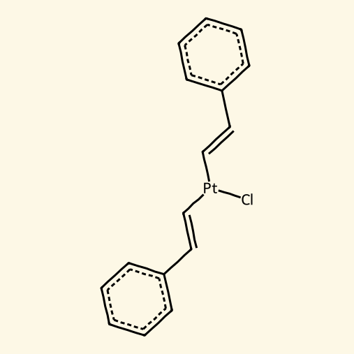 [Cl][Pt]([CH]=Cc1ccccc1)[CH]=Cc1ccccc1